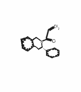 C=CC(=O)N1Cc2ccccc2C[C@H]1c1ccccc1